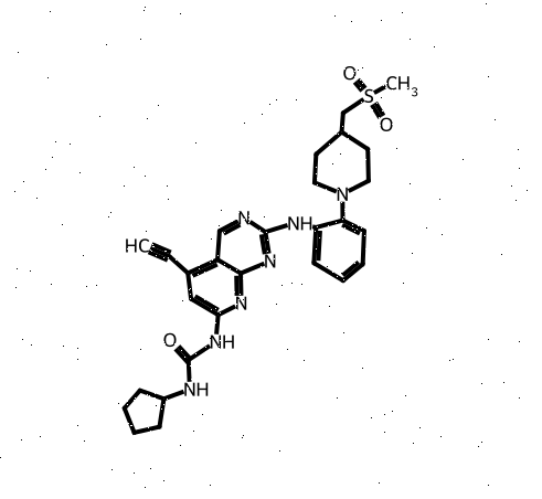 C#Cc1cc(NC(=O)NC2CCCC2)nc2nc(Nc3ccccc3N3CCC(CS(C)(=O)=O)CC3)ncc12